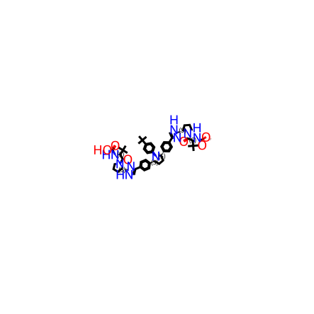 COC(=O)N[C@H](C(=O)N1CCC[C@H]1c1nc(-c2ccc([C@@H]3CC[C@@H](c4ccc(-c5c[nH]c([C@@H]6CCCN6C(=O)[C@@H](NC(=O)O)C(C)(C)C)n5)cc4)N3c3ccc(C(C)(C)C)cc3)cc2)c[nH]1)C(C)(C)C